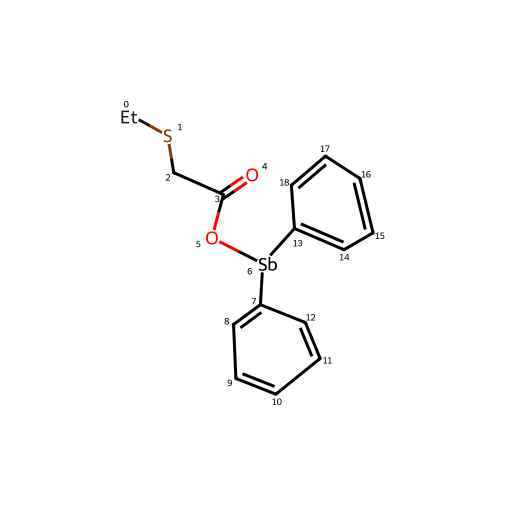 CCSCC(=O)[O][Sb]([c]1ccccc1)[c]1ccccc1